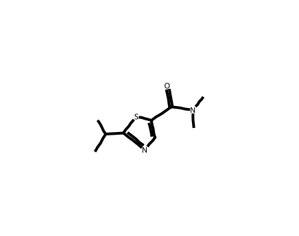 CC(C)c1ncc(C(=O)N(C)C)s1